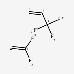 C=C(F)F.C=CC(F)(F)F